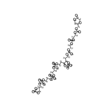 O=C1COC(COC(=O)OCCOC(=O)OCCOC(=O)OCCC2OS(=O)(=O)OC2CCOS(=O)(=O)OCCOS(=O)(=O)OCCOS(=O)(=O)OCC2COC(=O)O2)CO1